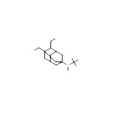 CCC1C2CC3CC1(CC)CC(N(C)C(C)(C)C)(C3)C2